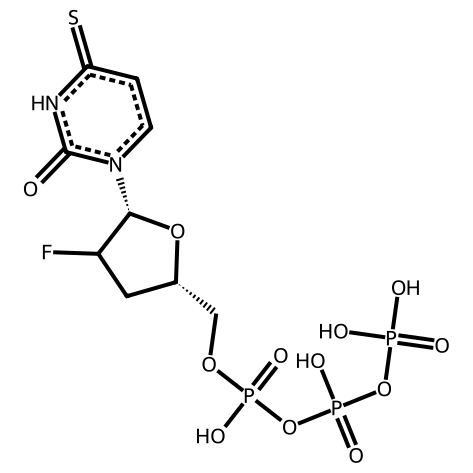 O=c1[nH]c(=S)ccn1[C@@H]1O[C@H](COP(=O)(O)OP(=O)(O)OP(=O)(O)O)CC1F